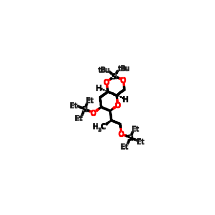 CC[Si](CC)(CC)OC[C@@H](C)[C@@H]1O[C@@H]2CO[Si](C(C)(C)C)(C(C)(C)C)O[C@@H]2C[C@@H]1O[Si](CC)(CC)CC